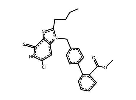 CCCCc1nc2c(=S)[nH]c(Cl)cc2n1Cc1ccc(-c2ccccc2C(=O)OC)cc1